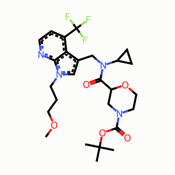 COCCCn1cc(CN(C(=O)C2CN(C(=O)OC(C)(C)C)CCO2)C2CC2)c2c(C(F)(F)F)ccnc21